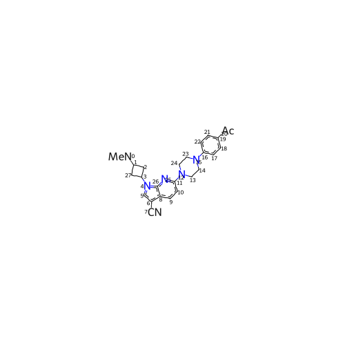 CNC1CC(n2cc(C#N)c3ccc(N4CCN(c5ccc(C(C)=O)cc5)CC4)nc32)C1